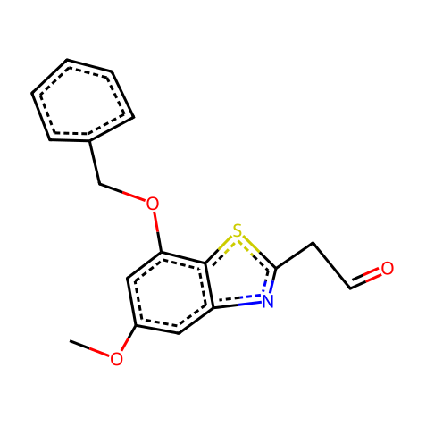 COc1cc(OCc2ccccc2)c2sc(CC=O)nc2c1